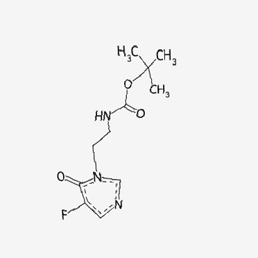 CC(C)(C)OC(=O)NCCn1cncc(F)c1=O